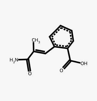 C/C(=C\c1ccccc1C(=O)O)C(N)=O